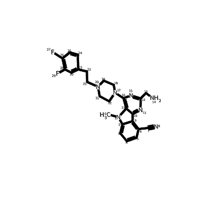 Cn1c2cccc(C#N)c2c2nc(CN)nc(N3CCN(CCc4ccc(F)c(F)c4)CC3)c21